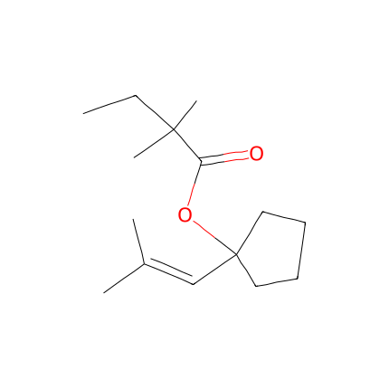 CCC(C)(C)C(=O)OC1(C=C(C)C)CCCC1